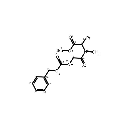 CC(C)C(C(=O)OC(C)(C)C)N(C)C(=O)CNC(=O)OCc1ccccc1